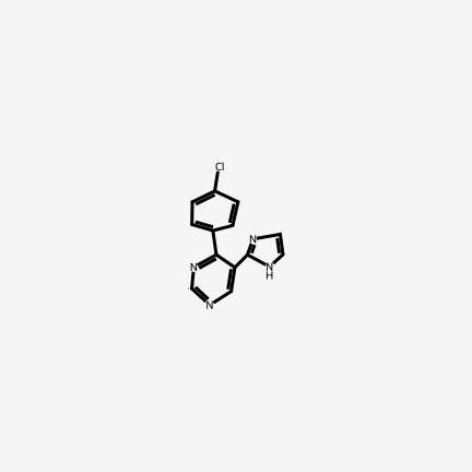 Clc1ccc(-c2n[c]ncc2-c2ncc[nH]2)cc1